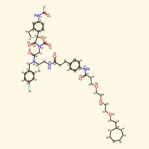 CC(=O)Nc1ccc2c(c1)CC[C@@]21OC(=O)N(CC(=O)N(Cc2ccc(F)cc2)[C@@H](C)CNC(=O)CCc2ccc(NC(=O)CCOCCOCCOCCC3CCCCCC3)cc2)C1=O